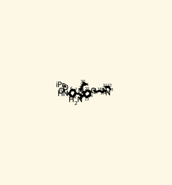 CC(C)OC(=O)Nc1ccc(-c2c(N)c3ccc(OCCCn4cccn4)cc3n2CC2CC2)cc1